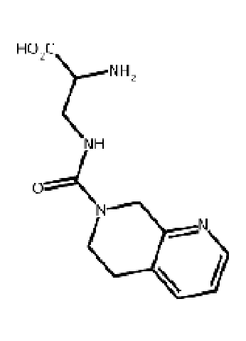 NC(CNC(=O)N1CCc2cccnc2C1)C(=O)O